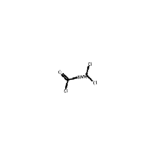 CNC(=O)Cl.ClCCl